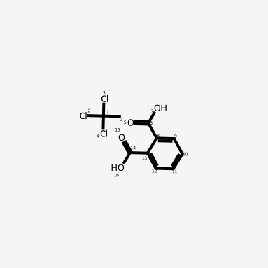 CC(Cl)(Cl)Cl.O=C(O)c1ccccc1C(=O)O